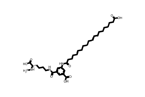 O=C(O)CCCCCCCCCCCCCCCCCCC(=O)Nc1cc(C(=O)O)cc(C(=O)NCCCC[C@H](NP)C(=O)O)c1